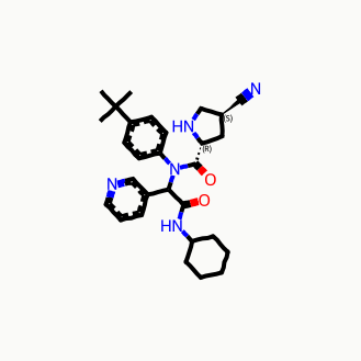 CC(C)(C)c1ccc(N(C(=O)[C@H]2C[C@H](C#N)CN2)C(C(=O)NC2CCCCC2)c2cccnc2)cc1